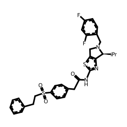 CC(C)[C@H]1c2nc(NC(=O)Cc3ccc(S(=O)(=O)CCc4ccccc4)cc3)sc2CN1Cc1ccc(F)cc1F